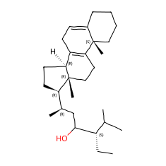 CC[C@@H](C(C)C)C(O)C[C@@H](C)[C@H]1CC[C@H]2C3=C(CC[C@]12C)[C@@]1(C)CCCCC1=CC3